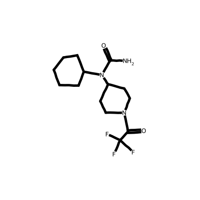 NC(=O)N(C1CCCCC1)C1CCN(C(=O)C(F)(F)F)CC1